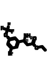 CCOC(=O)C[C@H](N)c1cc(Br)cc(OC(F)(F)F)c1